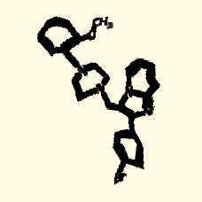 COc1ccc[c]c1N1CCN(Cc2c(-c3ccc(Br)cc3)nc3ccccn23)CC1